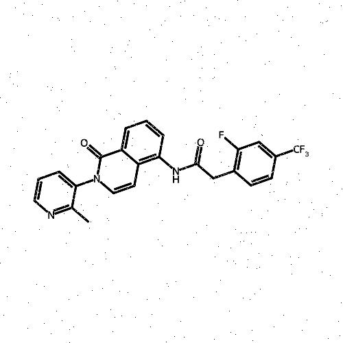 Cc1ncccc1-n1ccc2c(NC(=O)Cc3ccc(C(F)(F)F)cc3F)cccc2c1=O